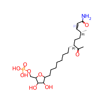 CC(=O)[C@H](CCCCCCCCC1OC(COP(=O)(O)O)C(O)C1O)CC[C@@H](C)/C=C\C(N)=O